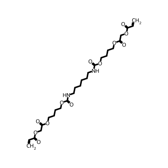 C=CC(=O)OCC(=O)OCCCCOC(=O)NCCCCCCNC(=O)OCCCCOC(=O)COC(=O)C=C